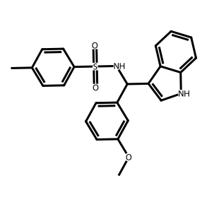 COc1cccc(C(NS(=O)(=O)c2ccc(C)cc2)c2c[nH]c3ccccc23)c1